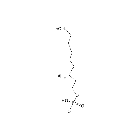 CCCCCCCCCCCCCCCCOP(=O)(O)O.[AlH3]